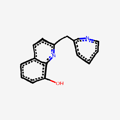 Oc1cccc2ccc(Cc3ccccn3)nc12